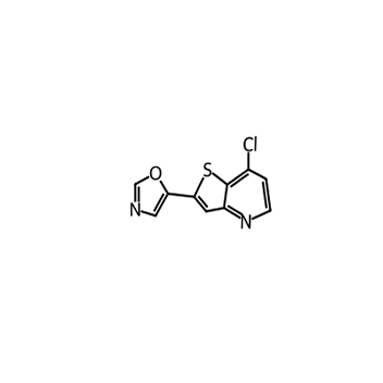 Clc1ccnc2cc(-c3cnco3)sc12